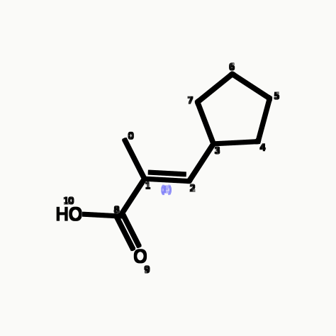 C/C(=C\C1CCCC1)C(=O)O